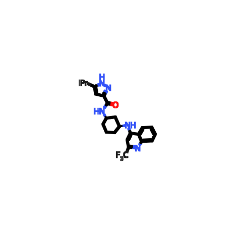 CC(C)c1cc(C(=O)N[C@@H]2CCC[C@H](Nc3cc(C(F)(F)F)nc4ccccc34)C2)n[nH]1